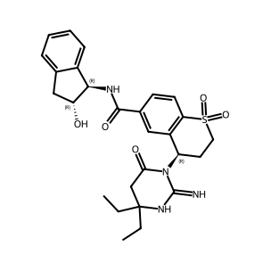 CCC1(CC)CC(=O)N([C@@H]2CCS(=O)(=O)c3ccc(C(=O)N[C@@H]4c5ccccc5C[C@H]4O)cc32)C(=N)N1